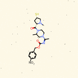 CC(=NC(=O)OCc1ccc([N+](=O)[O-])cc1)N1CCN(C(=O)[C@@H]2C[C@H](S)CN2C)C(C)C1